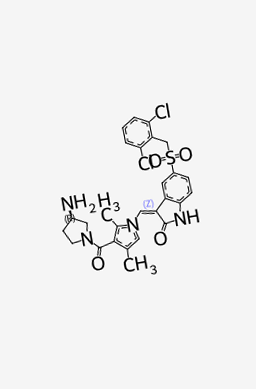 Cc1cn(/C=C2\C(=O)Nc3ccc(S(=O)(=O)Cc4c(Cl)cccc4Cl)cc32)c(C)c1C(=O)N1CC[C@@H](N)C1